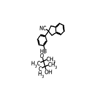 CC(C)(O)C(C)(C)OBc1cccc(C2(C#N)Cc3ccccc3C2)c1